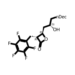 CCCCCCCCCCC[C@H](O)C[C@H]1OC(=O)[C@@H]1Cc1c(F)c(F)c(F)c(F)c1F